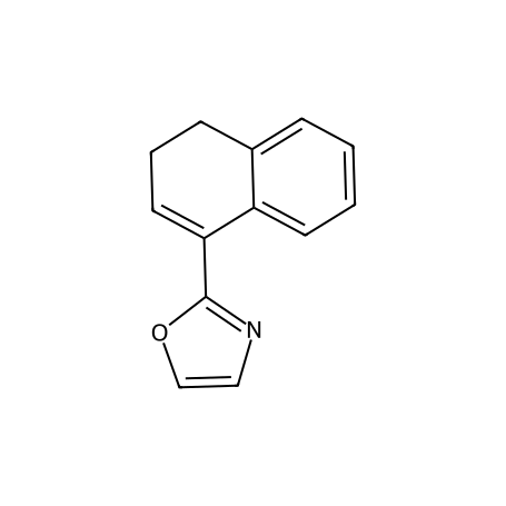 C1=C(c2ncco2)c2ccccc2CC1